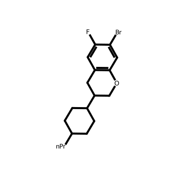 CCCC1CCC(C2COc3cc(Br)c(F)cc3C2)CC1